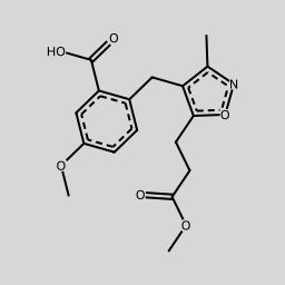 COC(=O)CCc1onc(C)c1Cc1ccc(OC)cc1C(=O)O